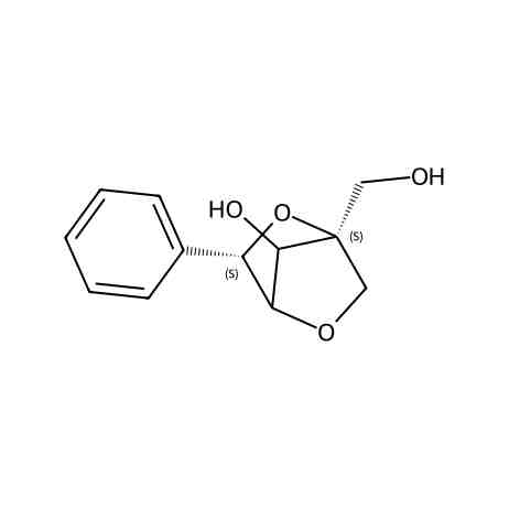 OC[C@]12COC(C1O)[C@H](c1ccccc1)O2